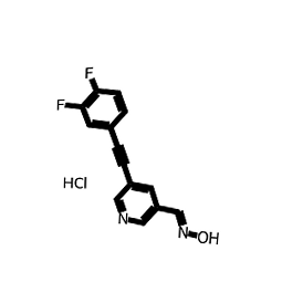 Cl.ON=Cc1cncc(C#Cc2ccc(F)c(F)c2)c1